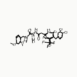 COc1ccc(CNC(=O)NNC(=O)Cc2nc(C(F)(F)F)c(Cc3ccc(Cl)c(Cl)c3)c(=O)[nH]2)c(OC)c1